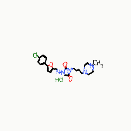 CN1CCN(CCCCN2C(=O)CN(N=Cc3ccc(-c4ccc(Cl)cc4)o3)C2=O)CC1.Cl